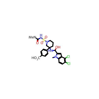 CNC(=O)NS(=O)(=O)N1CCCC(NC(O)c2cc3c(Cl)c(Cl)ccc3n2C)(c2ccc(C(=O)O)cc2)C1